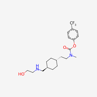 CN(CC[C@H]1CC[C@H](CNCCO)CC1)C(=O)Oc1ccc(C(F)(F)F)cc1